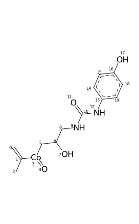 C=[C](C)[Co](=[O])[CH2]C(O)CNC(=O)Nc1ccc(O)cc1